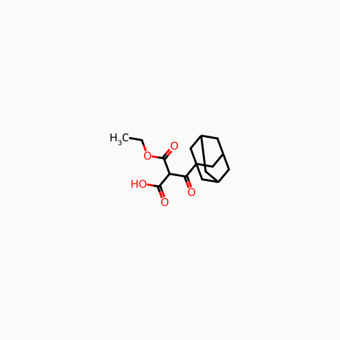 CCOC(=O)C(C(=O)O)C(=O)C12CC3CC(CC(C3)C1)C2